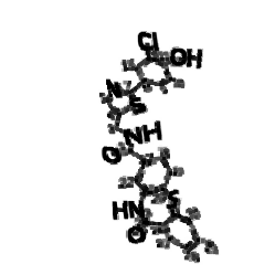 O=C(NCc1cnc(-c2ccc(O)c(Cl)c2)s1)c1ccc2c(c1)NC(=O)c1ccccc1S2